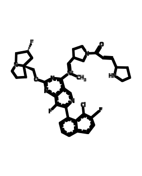 C/[N+](=C\C1CCN(C(=O)/C=C/C2CCCN2)C1)c1nc(OC[C@@]23CCCN2C[C@H](F)C3)nc2c(F)c(-c3cccc4ccc(F)c(Cl)c34)ncc12